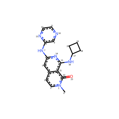 Cn1ccc2cc(Nc3cnccn3)nc(NC3CCC3)c2c1=O